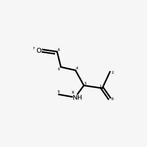 C=C(C)C(CCC=O)NC